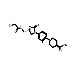 CCC(C#N)=C1CCN(c2ccc(N3C[C@H](CNC(=O)CBr)OC3=O)cc2F)CC1